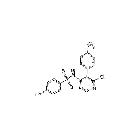 CCCc1ccc(S(=O)(=O)Nc2ncnc(Cl)c2-c2ccc(C)cc2)cc1